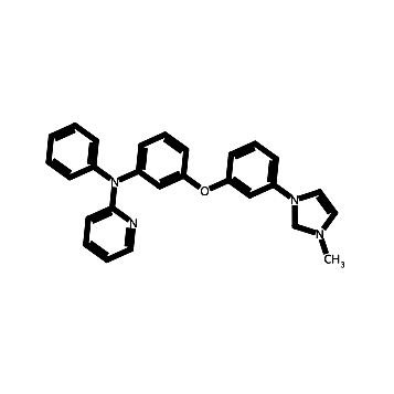 CN1C=CN(c2cccc(Oc3cccc(N(c4ccccc4)c4ccccn4)c3)c2)C1